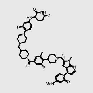 CNc1ccn(-c2ccnc3c2cc([C@@H](C)N2CCC(c4c(C)cc(C(=O)N5CCC(CN6CCN(c7ccc(NC8CCC(=O)NC8=O)cc7F)CC6)CC5)cc4F)CC2)n3C)c(=O)c1